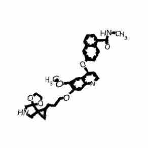 CNC(=O)c1cccc2cc(Oc3ccnc4cc(OCCCC5CC56CNCC65OCCO5)c(OC)cc34)ccc12